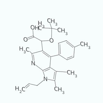 C=CCn1c(C)c(C)c2c(-c3ccc(C)cc3)c(C(OC(C)(C)C)C(=O)O)c(C)nc21